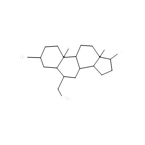 COCC1CC2C3CCC(O)C3(C)CCC2C2(C)CCC(O)CC12